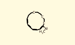 [CH3][Al][C]1=CC=CC=CC=CCCCCCCCC1